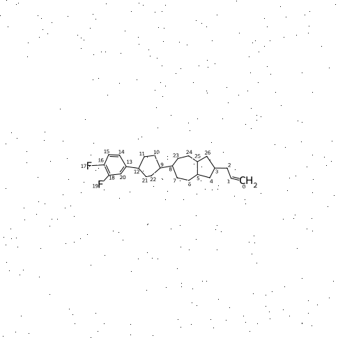 C=CCC1CC2CCC(C3CCC(c4ccc(F)c(F)c4)CC3)CCC2C1